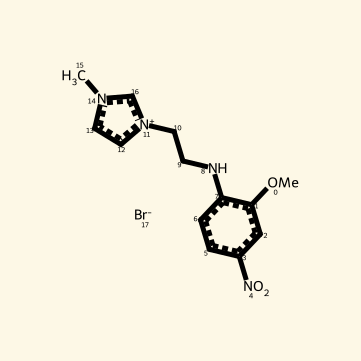 COc1cc([N+](=O)[O-])ccc1NCC[n+]1ccn(C)c1.[Br-]